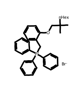 CCCCCCC(C)(C)COc1ccccc1C[P+](c1ccccc1)(c1ccccc1)c1ccccc1.[Br-]